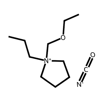 CCC[N+]1(COCC)CCCC1.[N-]=C=O